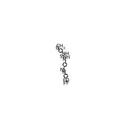 COc1ccc(NC(=S)N/N=C/c2ccc(-c3cn(-c4ccc(OC(F)(F)F)cc4)cn3)cc2)cc1